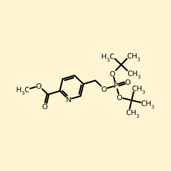 COC(=O)c1ccc(COP(=O)(OC(C)(C)C)OC(C)(C)C)cn1